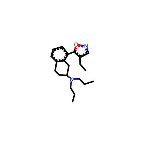 CCCN(CCC)C1CCc2cccc(-c3oncc3CC)c2C1